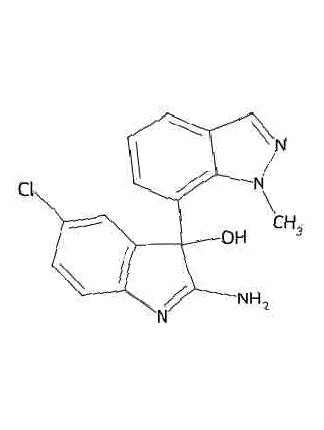 Cn1ncc2cccc(C3(O)C(N)=Nc4ccc(Cl)cc43)c21